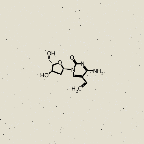 C=Cc1cn([C@H]2C[C@@H](O)[C@H](CO)O2)c(=O)nc1N